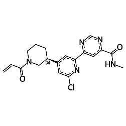 C=CC(=O)N1CCC[C@@H](c2cc(Cl)nc(-c3cc(C(=O)NC)ncn3)c2)C1